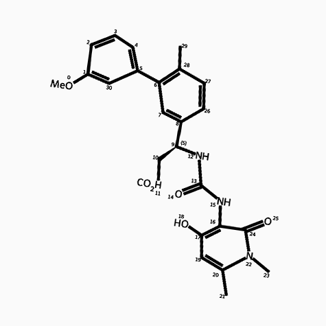 COc1cccc(-c2cc([C@H](CC(=O)O)NC(=O)Nc3c(O)cc(C)n(C)c3=O)ccc2C)c1